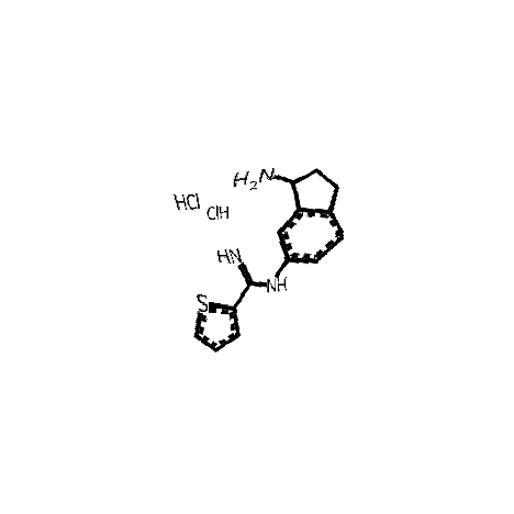 Cl.Cl.N=C(Nc1ccc2c(c1)C(N)CC2)c1cccs1